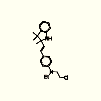 CCN(CCCl)c1ccc(C=CC2(C)Nc3ccccc3C2(C)C)cc1